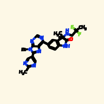 CCn1c(-c2cnc(C)nc2)nc2c(-c3ccc4c(c3)[C@](C)(NCC(C)(F)F)C(=O)N4)ncnc21